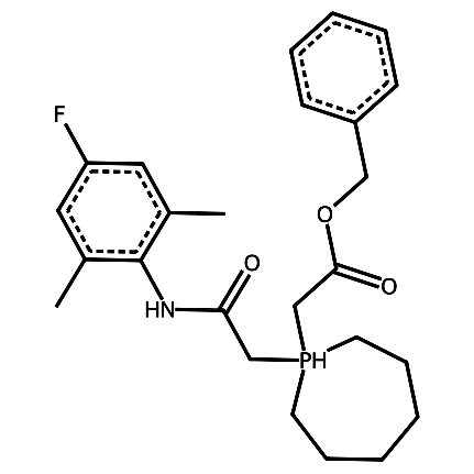 Cc1cc(F)cc(C)c1NC(=O)C[PH]1(CC(=O)OCc2ccccc2)CCCCCC1